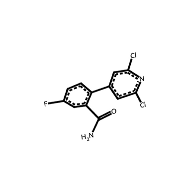 NC(=O)c1cc(F)ccc1-c1cc(Cl)nc(Cl)c1